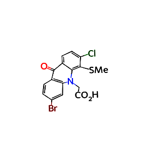 CSc1c(Cl)ccc2c(=O)c3ccc(Br)cc3n(CC(=O)O)c12